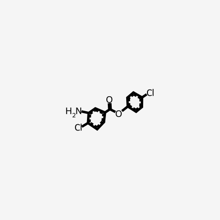 Nc1cc(C(=O)Oc2ccc(Cl)cc2)ccc1Cl